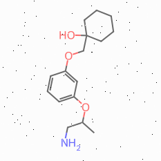 CC(CN)Oc1cccc(OCC2(O)CCCCC2)c1